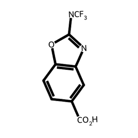 O=C(O)c1ccc2oc(NC(F)(F)F)nc2c1